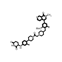 COc1cc(-c2cn(C)c(=O)c3cnccc23)cc(F)c1CC1CCN(CC(=O)N2CCC(c3ccc(NC4CCC(=O)NC4=O)cc3F)CC2)CC1